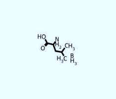 B.CC(C)CC(N)C(=O)O